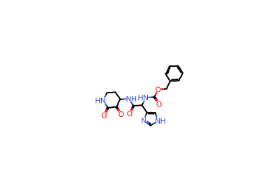 O=C(NC(C(=O)NC1CCNC(=O)C1=O)c1c[nH]cn1)OCc1ccccc1